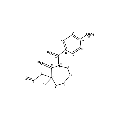 C=CCC1(C)CCCCN(C(=O)c2ccc(OC)cc2)C1=O